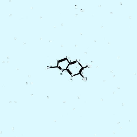 Clc1ccc2nc(Cl)c(Cl)nc2n1